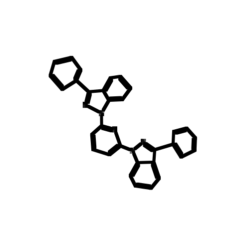 c1ccc(-c2nn(-c3cccc(-n4nc(-c5ccccc5)c5ccccc54)n3)c3ccccc23)cc1